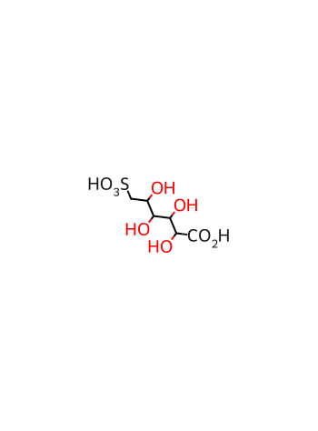 O=C(O)C(O)C(O)C(O)C(O)CS(=O)(=O)O